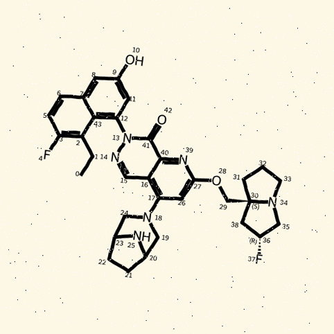 CCc1c(F)ccc2cc(O)cc(-n3ncc4c(N5CC6CCC(C5)N6)cc(OC[C@@]56CCCN5C[C@H](F)C6)nc4c3=O)c12